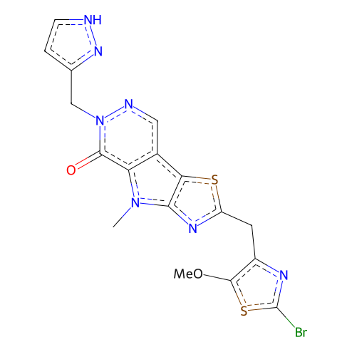 COc1sc(Br)nc1Cc1nc2c(s1)c1cnn(Cc3cc[nH]n3)c(=O)c1n2C